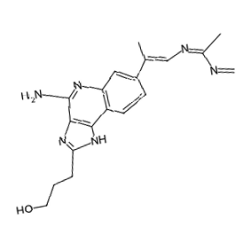 C=N/C(C)=N\C=C(/C)c1ccc2c(c1)nc(N)c1nc(CCCO)[nH]c12